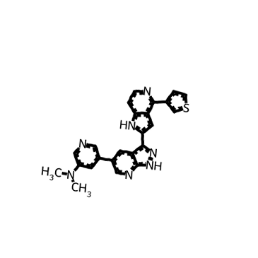 CN(C)c1cncc(-c2cnc3[nH]nc(-c4cc5c(-c6ccsc6)nccc5[nH]4)c3c2)c1